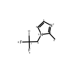 Cc1nccn1CC(F)(F)I